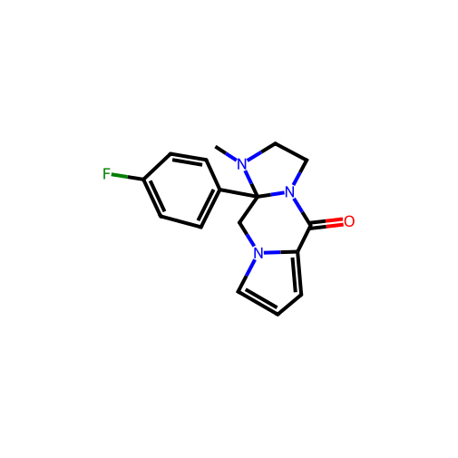 CN1CCN2C(=O)c3cccn3CC12c1ccc(F)cc1